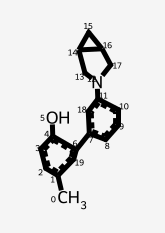 Cc1ccc(O)c(-c2cccc(N3CC4CC4C3)c2)c1